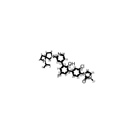 CC(C)N1CCC12CCN(c1cc(-c3cc(F)cc(-c4ccc(-n5ccn(C)c5=O)c(Cl)c4)c3O)ccn1)C2